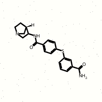 NC(=O)c1cccc(Sc2ccc(C(=O)NC3CN4CC[C@H]3C4)cc2)c1